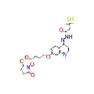 CN1CC/C(=N\NC(=O)CC(C)(C)S)c2ccc(OCCCC(=O)ON3C(=O)CCC3=O)cc21